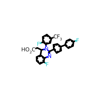 O=C(O)CC1c2cccc(F)c2N=C(c2ccc(-c3ccc(F)cc3)cc2)N1c1cc(C(F)(F)F)ccc1F